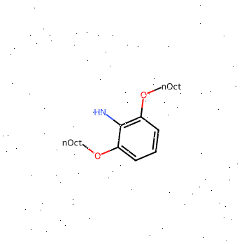 CCCCCCCCOc1cccc(OCCCCCCCC)c1[NH]